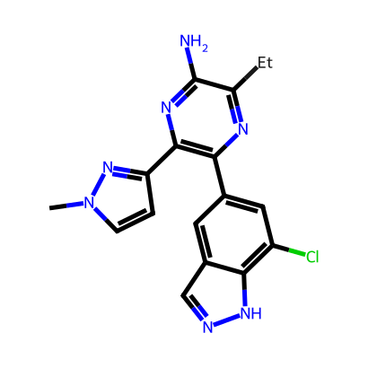 CCc1nc(-c2cc(Cl)c3[nH]ncc3c2)c(-c2ccn(C)n2)nc1N